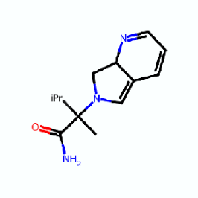 CC(C)C(C)(C(N)=O)N1C=C2C=CC=NC2C1